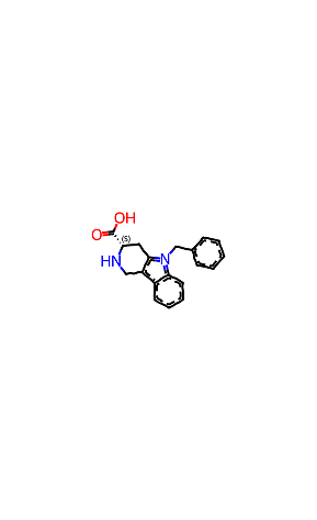 O=C(O)[C@@H]1Cc2c(c3ccccc3n2Cc2ccccc2)CN1